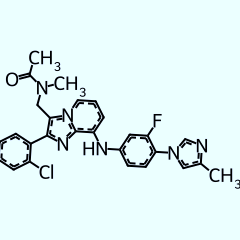 CC(=O)N(C)Cc1c(-c2ccccc2Cl)nc2c(Nc3ccc(-n4cnc(C)c4)c(F)c3)cccn12